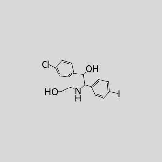 OCCNC(c1ccc(I)cc1)C(O)c1ccc(Cl)cc1